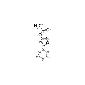 CC(=O)Oc1cc(-c2ccccc2)on1